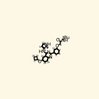 CC(C)(C)NC(=O)COc1cccc(-c2nc(Nc3cc[nH]n3)c3cc(OC4CCC4)ccc3n2)c1